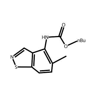 CCCCOC(=O)Nc1c(C)ccc2sncc12